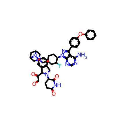 Nc1ncnc2c1c(-c1ccc(Oc3ccccc3)cc1)nn2C1CCC(CN2CC3CC(C2)N3c2ccc3c(c2)C(C(=O)C=O)N(C2CCC(=O)NC2=O)C3)CC1F